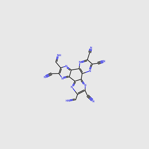 N#Cc1nc2c(nc1C#N)c1nc(C=N)c(C#N)nc1c1nc(C=N)c(C#N)nc21